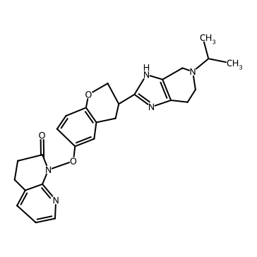 CC(C)N1CCc2nc(C3COc4ccc(ON5C(=O)CCc6cccnc65)cc4C3)[nH]c2C1